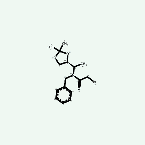 CC([C@H]1COC(C)(C)O1)N(Cc1ccccc1)C(=O)CBr